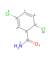 NC(=O)C1C=C(Cl)C=CC1Cl